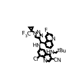 CC(C)(C)CNc1c(C#N)cnc2c(Cl)cc(NC(c3cn(C4(C(F)(F)F)CC4)nn3)c3cccc4ncc(F)cc34)cc12